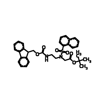 CC(C)(C)OC(=O)CN(CCNC(=O)OCC1c2ccccc2-c2ccccc21)S(=O)(=O)c1cccc2ccccc12